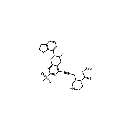 CC1Cc2c(C#CCC3CNCCN3C(=O)OC(C)(C)C)nc(S(C)(=O)=O)nc2CC1c1cccc2c1CCC2